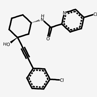 O=C(N[C@H]1CCC[C@@](O)(C#Cc2cccc(Cl)c2)C1)c1ccc(Cl)cn1